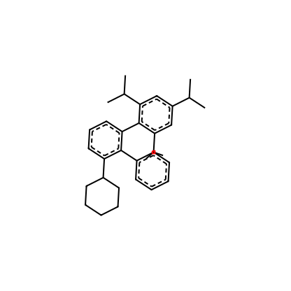 CC(C)c1cc(C(C)C)c(-c2cccc(C3CCCCC3)c2-c2ccccc2)c(C(C)C)c1